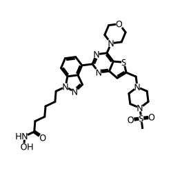 CS(=O)(=O)N1CCN(Cc2cc3nc(-c4cccc5c4cnn5CCCCCC(=O)NO)nc(N4CCOCC4)c3s2)CC1